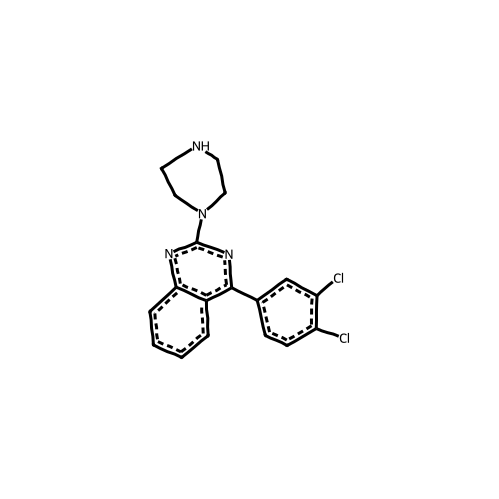 Clc1ccc(-c2nc(N3CCNCC3)nc3ccccc23)cc1Cl